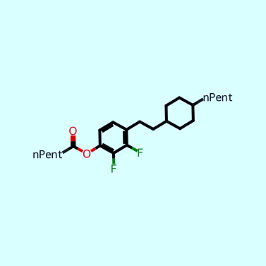 CCCCCC(=O)Oc1ccc(CCC2CCC(CCCCC)CC2)c(F)c1F